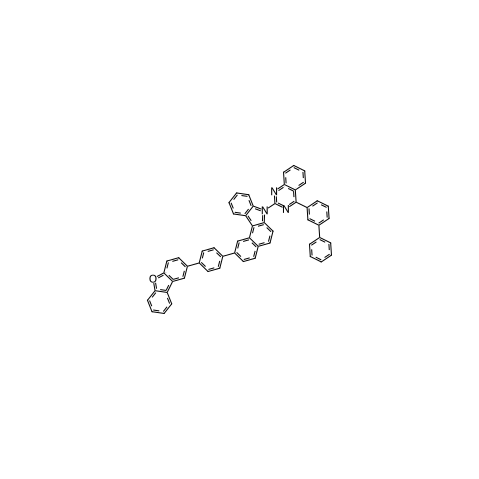 c1ccc(-c2cccc(-c3nc(-n4c5ccccc5c5c6cc(-c7ccc(-c8ccc9oc%10ccccc%10c9c8)cc7)ccc6ccc54)nc4ccccc34)c2)cc1